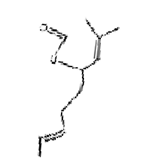 C/C=C/CCC(C=C(C)C)OC=O